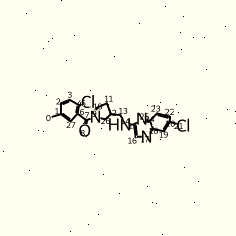 Cc1ccc(Cl)c(C(=O)N2CCC(CNc3cnc4cc(Cl)ccc4n3)C2)c1